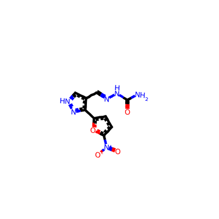 NC(=O)N/N=C/c1c[nH]nc1-c1ccc([N+](=O)[O-])o1